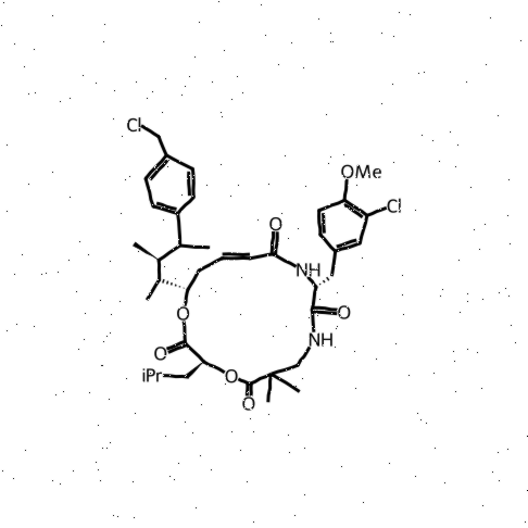 COc1ccc(C[C@H]2NC(=O)/C=C/C[C@@H](C(C)[C@@H](C)C(C)c3ccc(CCl)cc3)OC(=O)[C@H](CC(C)C)OC(=O)C(C)(C)CNC2=O)cc1Cl